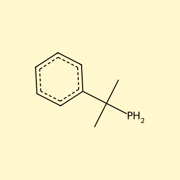 CC(C)(P)c1ccccc1